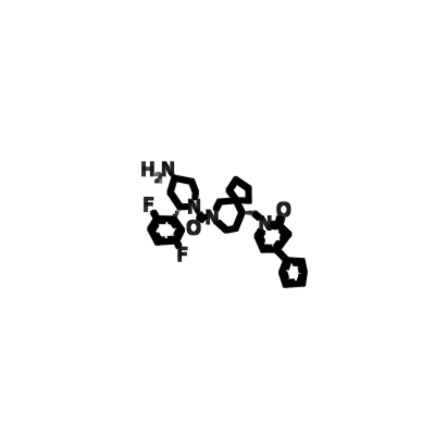 N[C@@H]1CCN(C(=O)N2CC[C@@H](Cn3ccc(-c4ccccc4)cc3=O)C3(CCCC3)C2)[C@H](c2cc(F)ccc2F)C1